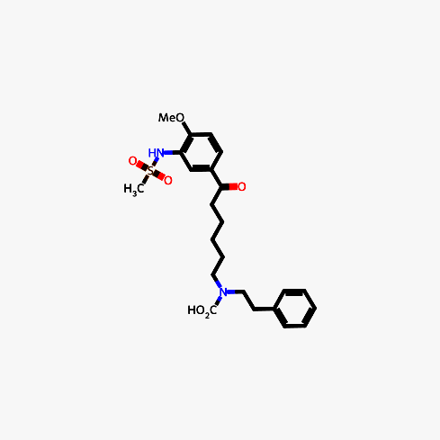 COc1ccc(C(=O)CCCCCN(CCc2ccccc2)C(=O)O)cc1NS(C)(=O)=O